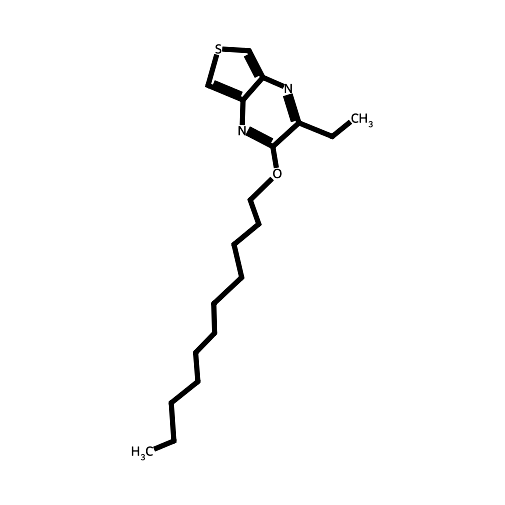 CCCCCCCCCCCOc1nc2cscc2nc1CC